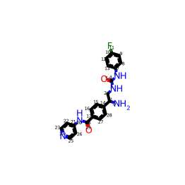 NC(CNC(=O)Nc1ccc(F)cc1)c1ccc(C(=O)Nc2ccncc2)cc1